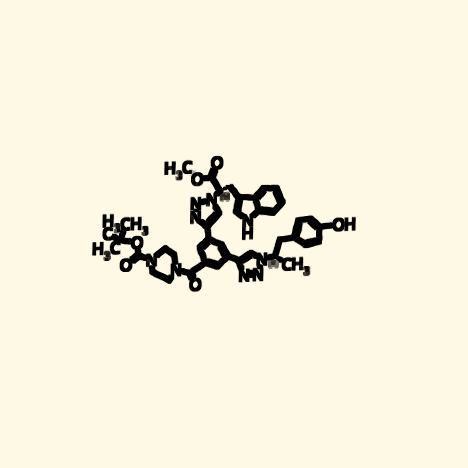 COC(=O)[C@H](Cc1c[nH]c2ccccc12)n1cc(-c2cc(C(=O)N3CCN(C(=O)OC(C)(C)C)CC3)cc(-c3cn([C@H](C)Cc4ccc(O)cc4)nn3)c2)nn1